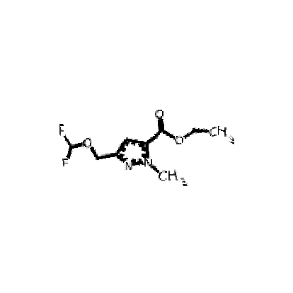 CCOC(=O)c1cc(COC(F)F)nn1C